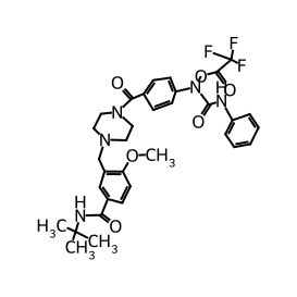 COc1ccc(C(=O)NC(C)(C)C)cc1CN1CCN(C(=O)c2ccc(N(OC(=O)C(F)(F)F)C(=O)Nc3ccccc3)cc2)CC1